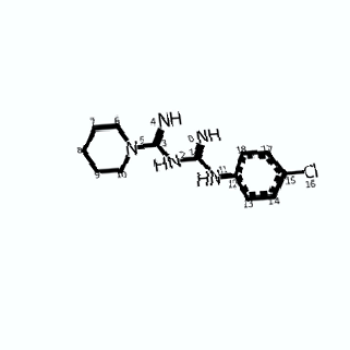 N=C(NC(=N)N1CCCCC1)Nc1ccc(Cl)cc1